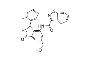 Cc1ccccc1C1NC(=O)c2cc(CO)cc(NC(=O)c3nsc4ccccc34)c21